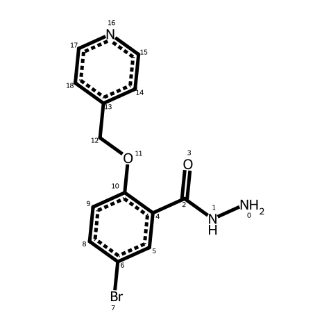 NNC(=O)c1cc(Br)ccc1OCc1ccncc1